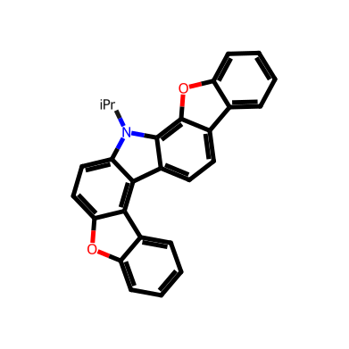 CC(C)n1c2ccc3oc4ccccc4c3c2c2ccc3c4ccccc4oc3c21